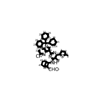 Cc1ccc(-c2nc(-c3cn(C(c4ccccc4)(c4ccccc4)c4ccccc4)c4ncc(Cl)nc34)nc(NC3C4CCC(CC4)C3[C]=O)c2F)s1